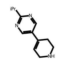 CC(C)c1ncc(C2=CCNCC2)cn1